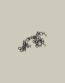 Cc1ncsc1-c1ccc([C@H](C)NC(=O)[C@@H]2C[C@@H](O)CN2C(=O)Cc2cc(OCCN3CCCC(CN4CCN5c6cc(-c7ccccc7O)nnc6NC[C@H]5C4)CC3)no2)cc1